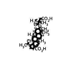 C=C(C)[C@@H]1CC[C@]2(C(=O)O)CCC3C(CCC4[C@@]3(C)CCC3C(C)(C)[C@@H](OC(=O)C(C)(C)CC(=O)O)CC[C@@]34C)C12